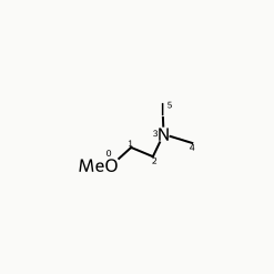 COCCN(C)I